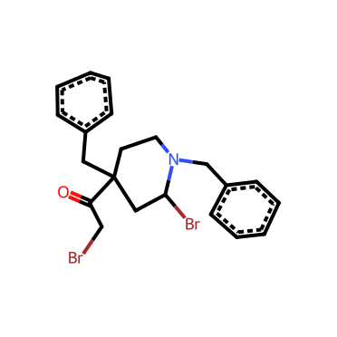 O=C(CBr)C1(Cc2ccccc2)CCN(Cc2ccccc2)C(Br)C1